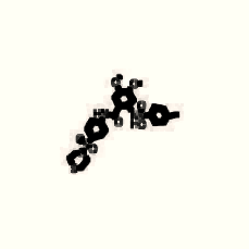 COc1cc(NS(=O)(=O)c2ccc(C)cc2)c(C(=O)Nc2ccc(S(=O)(=O)N3CCSCC3)cc2)cc1OC